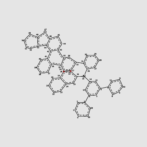 c1ccc(-c2cc(-c3ccccc3)cc(N(c3ccc4ccccc4c3)c3ccccc3-c3ccc4c5ccccc5c5c(ccc6oc7ccccc7c65)c4c3)c2)cc1